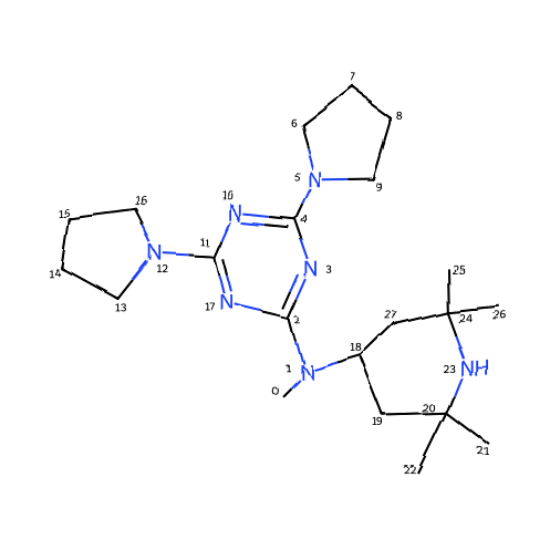 CN(c1nc(N2CCCC2)nc(N2CCCC2)n1)C1CC(C)(C)NC(C)(C)C1